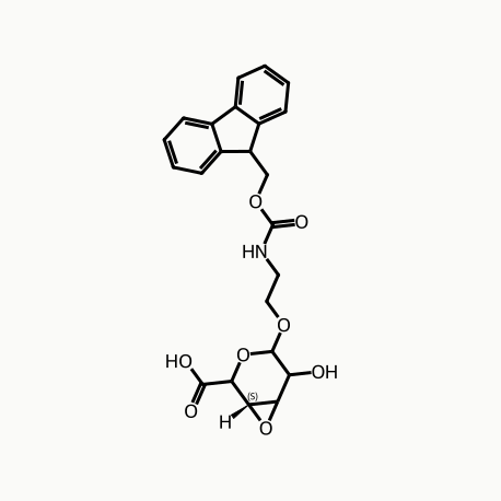 O=C(NCCOC1OC(C(=O)O)[C@H]2OC2C1O)OCC1c2ccccc2-c2ccccc21